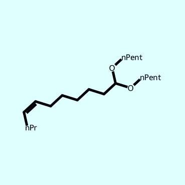 CCC/C=C\CCCCCC(OCCCCC)OCCCCC